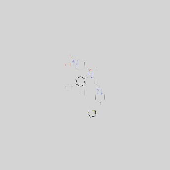 CS(=O)(=O)N1CCC(C(=O)N(CCCN2CCC(Sc3cccs3)CC2)c2ccc(Cl)c(Cl)c2)CC1